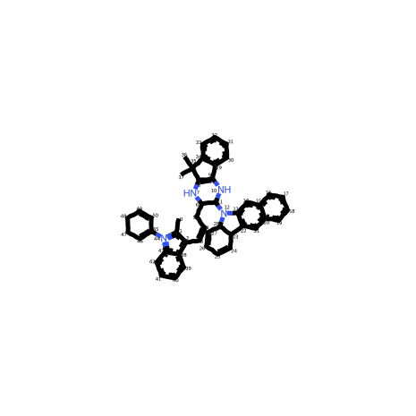 Cc1c(/C=C\CC2NC3=C(NC2N2c4cc5ccccc5cc4C4C=CC=CC42)c2ccccc2C3(C)C)c2ccccc2n1C1=CCCC=C1